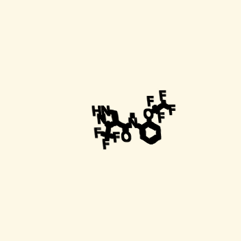 CN(C(=O)c1c[nH]nc1C(F)(F)F)c1ccccc1OC(F)(F)C(F)F